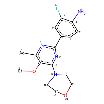 CCOc1c(C(C)=O)nc(-c2ccc(N)c(F)c2)nc1N1CCOCC1